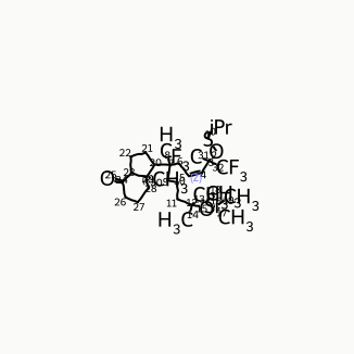 CC(C)SOC(/C=C\CC(C)(CCCC(C)(C)O[Si](C)(C)C)C1CCC2C(=O)CCC[C@@]21C)(C(F)(F)F)C(F)(F)F